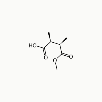 COC(=O)[C@H](C)[C@H](C)C(=O)O